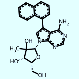 CC1(O)[C@@H](O)[C@@H](CO)O[C@H]1n1cc(-c2cccc3ccccc23)c2c(N)ncnc21